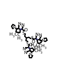 CC1(C)CC(N2CCCC2)=C(C#N)/C(=C(\C#N)C(=O)SCCC(CCSC(=O)/C(C#N)=C2\CC(C)(C)CC(N3CCCC3)=C2C#N)CCSC(=O)/C(C#N)=C2\CC(C)(C)CC(N3CCCC3)=C2C#N)C1